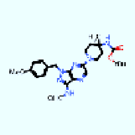 COc1ccc(Cn2nc(NC=O)c3ncc(N4CCC(C)(NC(=O)OC(C)(C)C)CC4)nc32)cc1